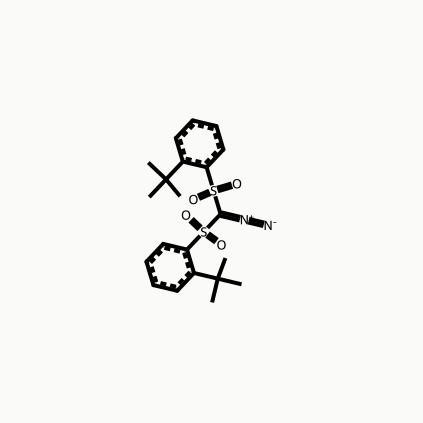 CC(C)(C)c1ccccc1S(=O)(=O)C(=[N+]=[N-])S(=O)(=O)c1ccccc1C(C)(C)C